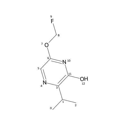 CC(C)c1ncc(OCF)nc1O